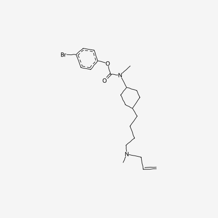 C=CCN(C)CCCCC1CCC(N(C)C(=O)Oc2ccc(Br)cc2)CC1